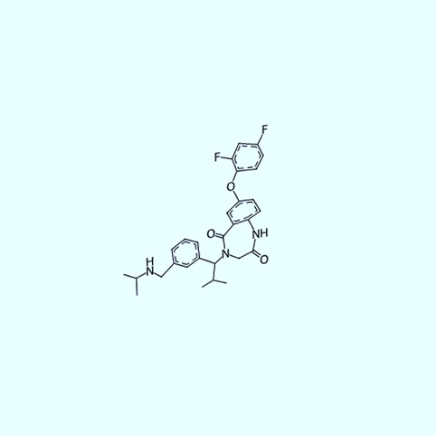 CC(C)NCc1cccc(C(C(C)C)N2CC(=O)Nc3ccc(Oc4ccc(F)cc4F)cc3C2=O)c1